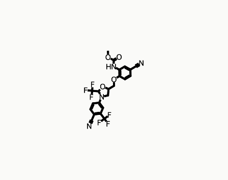 COC(=O)Nc1cc(C#N)ccc1OCC1CN(c2ccc(C#N)c(C(F)(F)F)c2)C(C(F)(F)F)O1